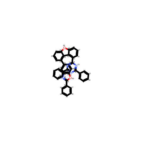 c1ccc(-c2nc(-c3ccccc3)nc(-c3cccc4oc5cccc(-c6ccc7oc(-c8ccccc8)nc7c6)c5c34)n2)cc1